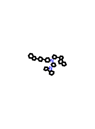 c1cc(-c2cccc3c2ccc2ccccc23)cc(N(c2ccc(-c3ccc(-c4ccc5ccccc5c4)cc3)cc2)c2cccc(-n3c4ccccc4c4ccccc43)c2)c1